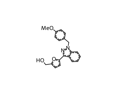 COc1ccc(Cn2nc(-c3ccc(CO)o3)c3ccccc32)cc1